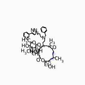 CC[C@H]1OC(=O)C[C@@H](O)[C@H](C)[C@@H](O[C@@H]2O[C@H](C)C(O)C(N(C)C)C2O)[C@@H](CCN(CCn2cc(-c3cccnc3)nn2)Cc2ccccc2)C[C@@H](C)C(=O)/C=C/C(C)=C/[C@@H]1CO